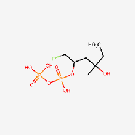 CC(O)(CC(=O)O)CC(CF)OP(=O)(O)OP(=O)(O)O